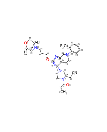 C=CC(=O)N1CCN(c2nc(OCCCN3C[C@H]4C[C@@H]3CO4)nc3c2CCN(c2ccccc2C(F)(F)F)C3)CC1CC#N